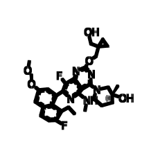 CCc1c(F)ccc2cc(OCOC)cc(-c3nc(NC)c4c(N5CCC[C@@](C)(O)C5)nc(OCC5(CO)CC5)nc4c3F)c12